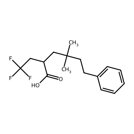 CC(C)(CCc1ccccc1)CC(CC(F)(F)F)C(=O)O